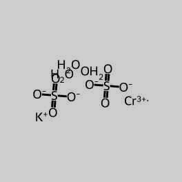 O.O.O.O=S(=O)([O-])[O-].O=S(=O)([O-])[O-].[Cr+3].[K+]